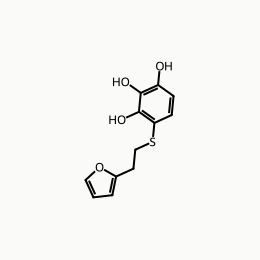 Oc1ccc(SCCc2ccco2)c(O)c1O